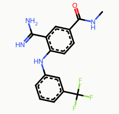 CNC(=O)c1ccc(Nc2cccc(C(F)(F)F)c2)c(C(=N)N)c1